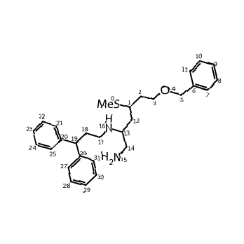 CSC(CCOCc1ccccc1)CC(CN)NCCC(c1ccccc1)c1ccccc1